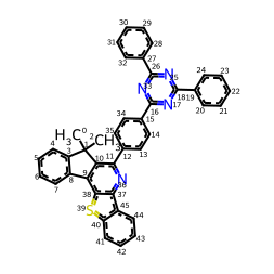 CC1(C)c2ccccc2-c2c1c(-c1ccc(-c3nc(-c4ccccc4)nc(-c4ccccc4)n3)cc1)nc1c2sc2ccccc21